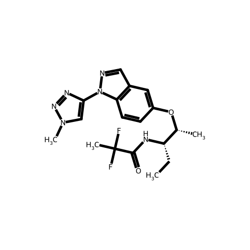 CC[C@H](NC(=O)C(C)(F)F)[C@@H](C)Oc1ccc2c(cnn2-c2cn(C)nn2)c1